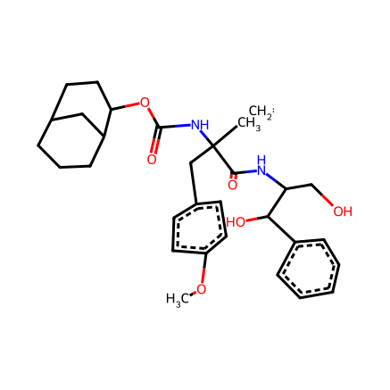 COc1ccc(CC(C)(NC(=O)OC2CCC3CCCC2C3)C(=O)NC(CO)C(O)c2ccccc2)cc1.[CH2]